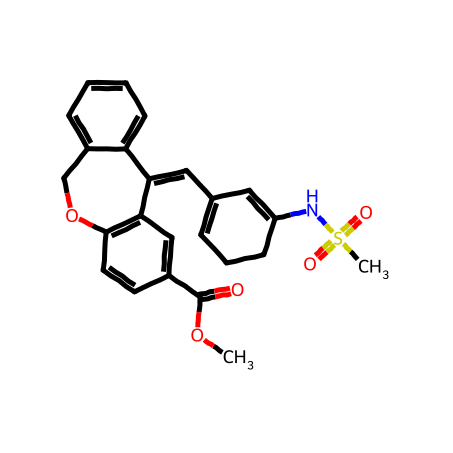 COC(=O)c1ccc2c(c1)/C(=C\C1=CCCC(NS(C)(=O)=O)=C1)c1ccccc1CO2